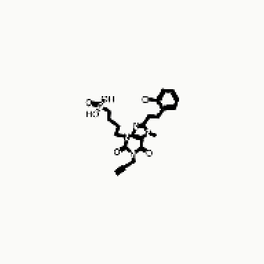 C#CCn1c(=O)c2c(nc(CCc3ccccc3Cl)n2C)n(CCCCP(=O)(O)O)c1=O